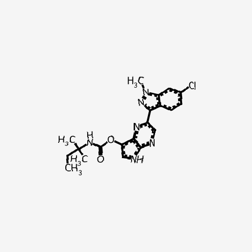 CCC(C)(C)NC(=O)Oc1c[nH]c2ncc(-c3nn(C)c4cc(Cl)ccc34)nc12